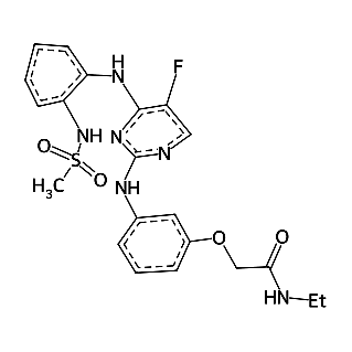 CCNC(=O)COc1cccc(Nc2ncc(F)c(Nc3ccccc3NS(C)(=O)=O)n2)c1